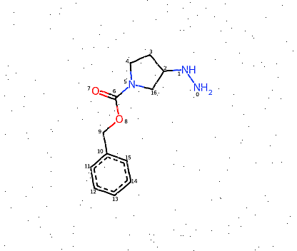 NNC1CCN(C(=O)OCc2ccccc2)C1